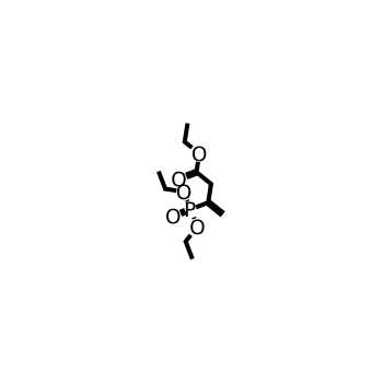 C=C(CC(=O)OCC)P(=O)(OCC)OCC